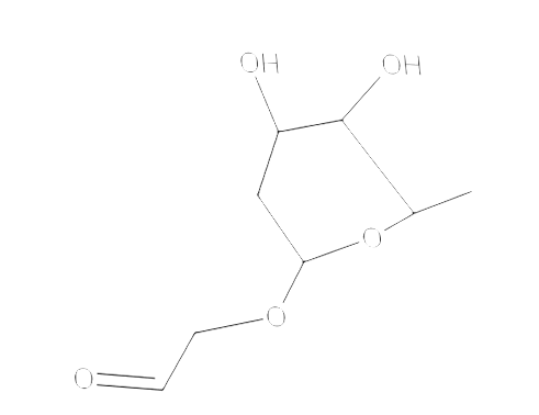 CC1OC(OCC=O)CC(O)C1O